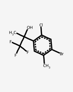 Cc1cc(C(C)(O)C(F)(F)F)c(Cl)cc1Br